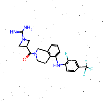 N=C(N)N1CC(C(=O)N2CCc3c(cccc3Nc3ccc(C(F)(F)F)cc3F)C2)C1